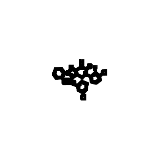 COc1ccccc1-n1nc2c(c1C(C)C)[C@@H](c1ccc(Cl)cc1C)N(c1cccc(Cl)c1F)C(=O)N2